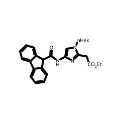 CCCCCCn1cc(NC(=O)C2c3ccccc3-c3ccccc32)nc1CC(=O)OCC